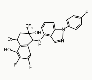 CCC1CC(O)(C(F)(F)F)C(Nc2cccc3c2cnn3-c2ccc(F)cc2)c2cc(F)c(F)c(O)c21